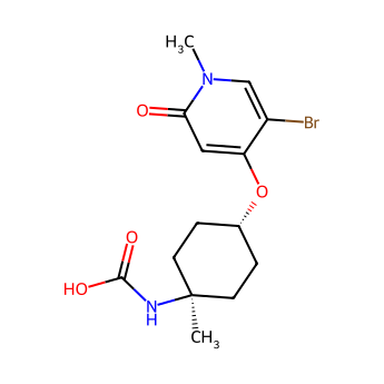 Cn1cc(Br)c(O[C@H]2CC[C@](C)(NC(=O)O)CC2)cc1=O